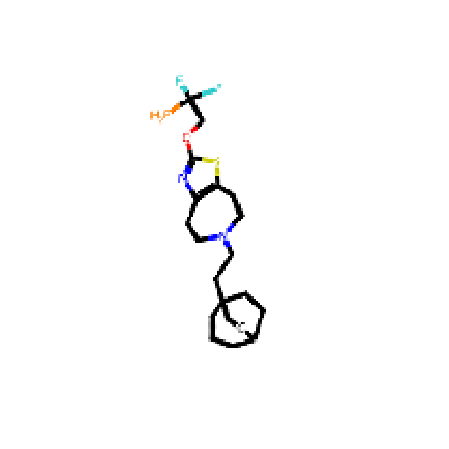 FC(F)(P)COc1nc2c(s1)CCN(CCC13CCCC(CC1)CC3)CC2